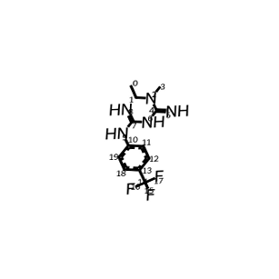 CCN(C)C(=N)NC(=N)Nc1ccc(C(F)(F)F)cc1